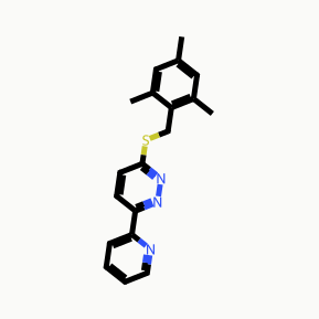 Cc1cc(C)c(CSc2ccc(-c3ccccn3)nn2)c(C)c1